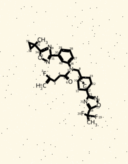 C=C(F)CCC(=O)N(CC12CCC(c3noc(C(C)(F)F)n3)(CC1)CC2)c1cccc(-c2noc(C3(C)CC3)n2)c1